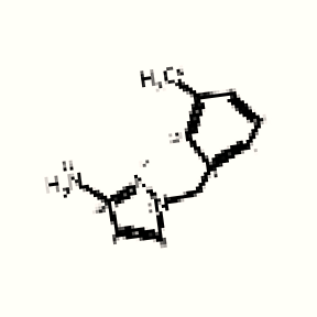 Cc1cccc(Cn2ccc(N)n2)c1